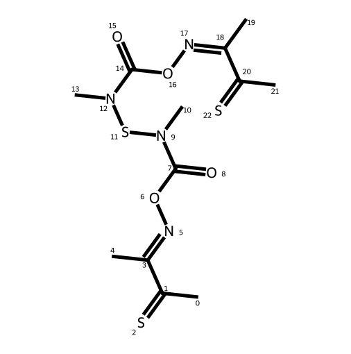 CC(=S)C(C)=NOC(=O)N(C)SN(C)C(=O)ON=C(C)C(C)=S